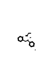 CCC1=Nc2ccccc2CC(c2ccc(OC)cc2)N1C